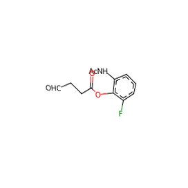 CC(=O)Nc1cccc(F)c1OC(=O)CCC=O